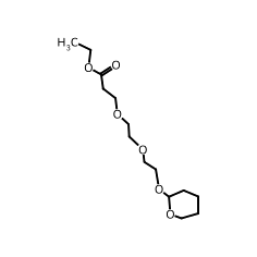 CCOC(=O)CCOCCOCCOC1CCCCO1